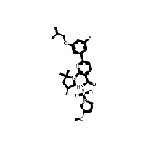 CO[C@@H]1CCN(S(=O)(=O)NC(=O)c2ccc(-c3cc(F)cc(OCC(C)C)c3)nc2N2C[C@@H](C)CC2(C)C)C1